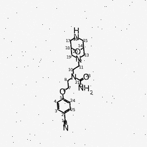 N#Cc1ccc(OCCN(CCN2CC3CNCC(C2)O3)C(N)=O)cc1